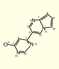 Clc1cc(-c2cnc3cccn3c2)ncn1